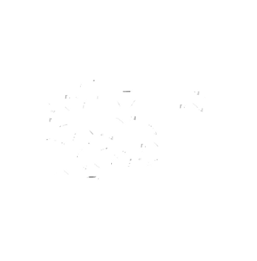 CC[C@H](C)[C@H](NC(=O)[C@@H](N)CCCNC(=N)N)C(=O)N[C@@H](Cc1c[nH]cn1)C(=O)N[C@@H](Cc1c[nH]c2ccccc12)C(=O)N[C@@H](CCC(=O)O)C(=O)N[C@@H](CO)C(=O)N[C@@H](C)C(=O)N[C@@H](CO)C(=O)O